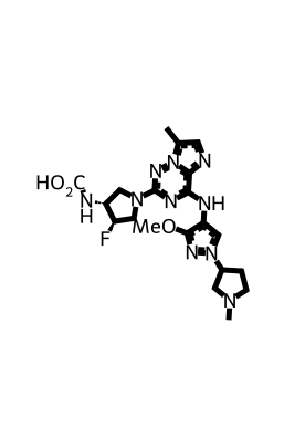 COc1nn(C2CCN(C)C2)cc1Nc1nc(N2C[C@@H](F)[C@H](NC(=O)O)C2)nn2c(C)cnc12